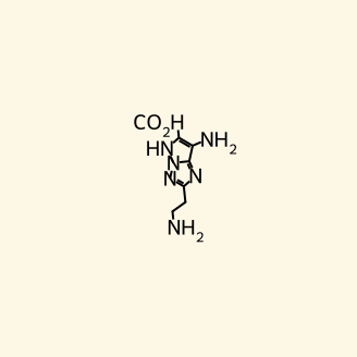 NCCc1nc2c(N)c(C(=O)O)[nH]n2n1